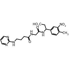 Cc1ccc(C(CC(=O)O)NC(=O)CNC(=O)CCCNc2ncccn2)cc1[N+](=O)[O-]